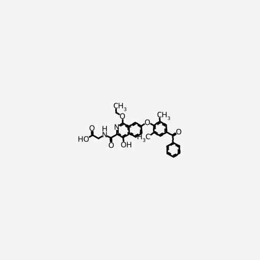 CCOc1nc(C(=O)NCC(=O)O)c(O)c2ccc(Oc3c(C)cc(C(=O)c4ccccc4)cc3C)cc12